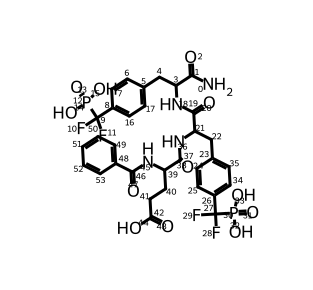 NC(=O)C(Cc1ccc(C(F)(F)P(=O)(O)O)cc1)NC(=O)C(Cc1ccc(C(F)(F)P(=O)(O)O)cc1)NC(=O)C(CCC(=O)O)NC(=O)c1ccccc1